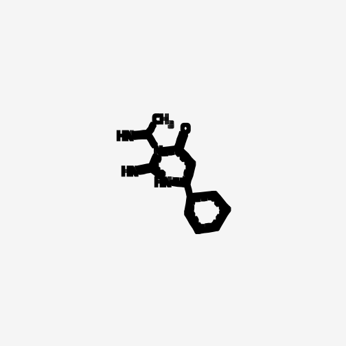 CC(=N)n1c(=O)cc(-c2ccccc2)[nH]c1=N